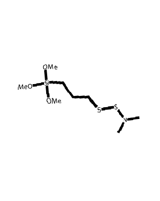 CO[Si](CCCSSN(C)C)(OC)OC